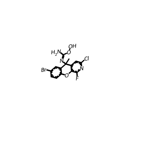 CC1(/N=C(/N)OO)c2cc(Br)ccc2Oc2c1cc(Cl)nc2F